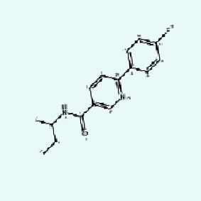 CCC(C)NC(=O)c1ccc(-c2ccc(F)cc2)nc1